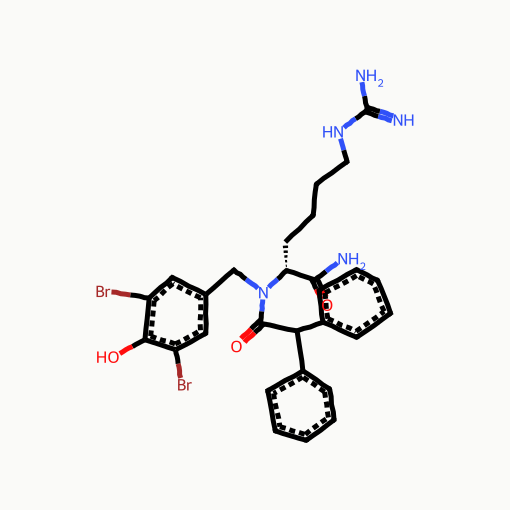 N=C(N)NCCCC[C@H](C(N)=O)N(Cc1cc(Br)c(O)c(Br)c1)C(=O)C(c1ccccc1)c1ccccc1